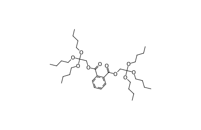 CCCCOC(COC(=O)c1ccccc1C(=O)OCC(OCCCC)(OCCCC)OCCCC)(OCCCC)OCCCC